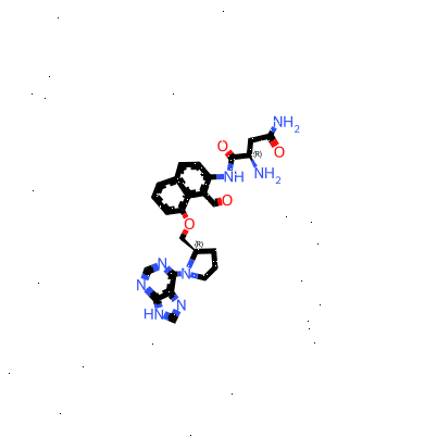 NC(=O)C[C@@H](N)C(=O)Nc1ccc2cccc(OC[C@H]3CCCN3c3ncnc4[nH]cnc34)c2c1C=O